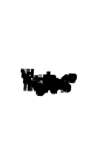 CC[C@H](C)[C@@H]([C@@H](CC(=O)N1CCC[C@H]1[C@H](OC)[C@@H](C)C(=O)NCC1(c2ccccc2)CC1)OC)N(C)C(=O)[C@@H](NC(=O)C(C)(C)NC(=O)CCOCCN)C(C)C